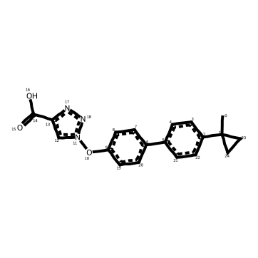 CC1(c2ccc(-c3ccc(On4cc(C(=O)O)nn4)cc3)cc2)CC1